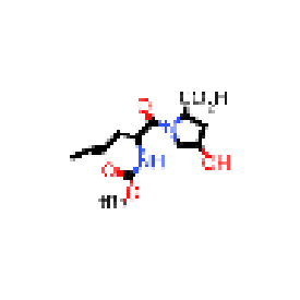 CC=CC[C@H](NC(=O)OC(C)(C)C)C(=O)N1CC(O)CC1C(=O)O